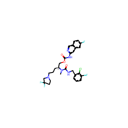 CN(C(=O)NCc1cccc(F)c1Cl)[C@@H](CCCN1CCC(F)(F)C1)COC(=O)Nc1cc2cc(F)ccc2cn1